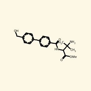 COC(=O)C(NC(=O)c1ccc(-c2ccc(CO)cc2)cc1)C(C)(C)N